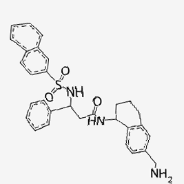 NCc1ccc2c(c1)CCCC2NC(=O)CC(NS(=O)(=O)c1ccc2ccccc2c1)c1ccccc1